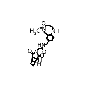 CCN1Cc2cc(CNC(=O)CN3C(=O)C4C5CC[C@@H]5[C@H]4C3=O)ccc2NCCC1=O